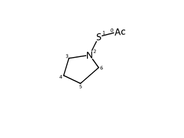 CC(=O)SN1CCCC1